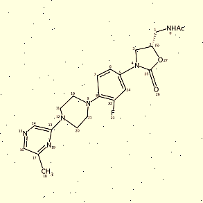 CC(=O)NC[C@H]1CN(c2ccc(N3CCN(c4cncc(C)n4)CC3)c(F)c2)C(=O)O1